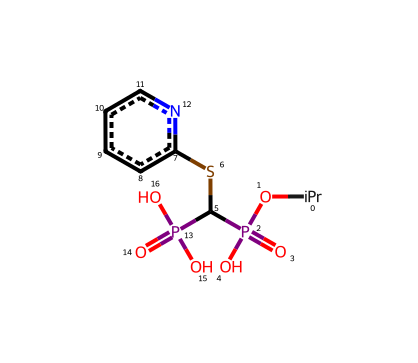 CC(C)OP(=O)(O)C(Sc1ccccn1)P(=O)(O)O